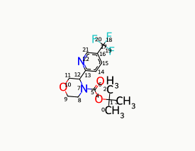 CC(C)(C)OC(=O)N1CCOCC1c1ccc(C(F)(F)F)cn1